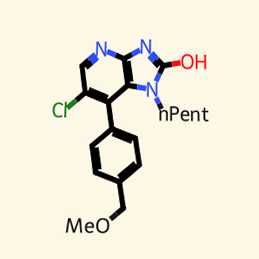 CCCCCn1c(O)nc2ncc(Cl)c(-c3ccc(COC)cc3)c21